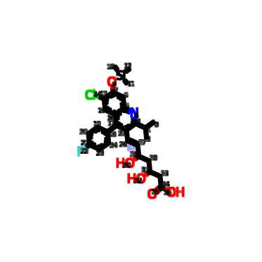 CC(C)c1nc2cc(O[Si](C)(C)C)c(Cl)cc2c(-c2ccc(F)cc2)c1/C=C/C(O)CC(O)CC(=O)O